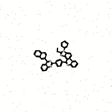 CCc1nc2c3c(-c4ccc(-c5nc(-c6ccc7ccccc7c6)c6ccccc6n5)cc4)nc4ccccc4c3ccc2n1-c1ccccc1